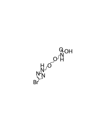 O=C(O)NCCOCCOCCNc1ncc(Br)cn1